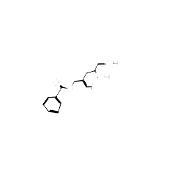 O=C(OCC(=CF)CC(O)CO)c1ccccc1